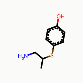 CC(CN)Sc1ccc(O)cc1